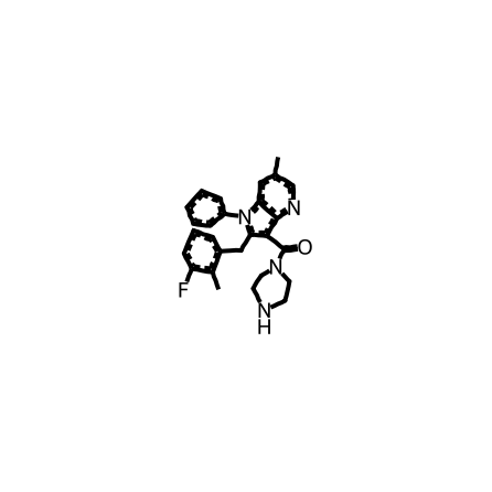 Cc1cnc2c(C(=O)N3CCNCC3)c(Cc3cccc(F)c3C)n(-c3ccccc3)c2c1